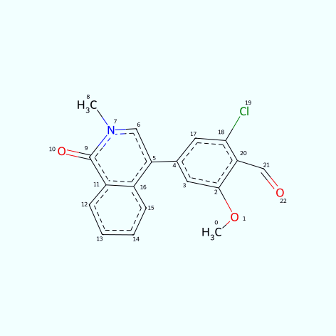 COc1cc(-c2cn(C)c(=O)c3ccccc23)cc(Cl)c1C=O